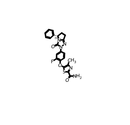 Cc1nc(C(N)=O)sc1Oc1ccc(-n2nc3n(c2=O)[C@H](c2ccccc2)CC3)cc1F